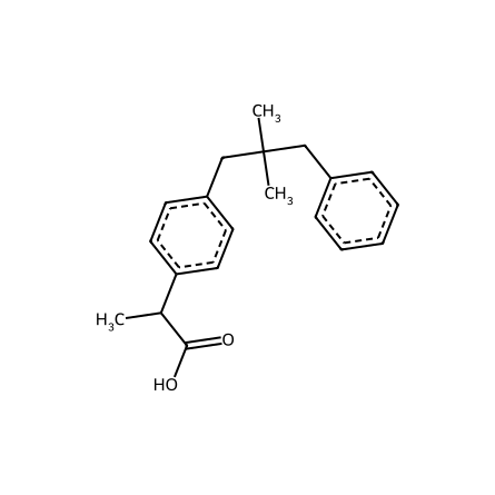 CC(C(=O)O)c1ccc(CC(C)(C)Cc2ccccc2)cc1